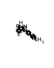 CN1CCN(c2ccc(N/C=C3\C(=O)NC(=O)c4ccc(I)cc43)cc2)CC1